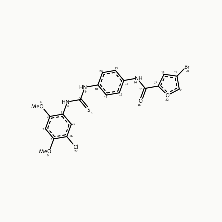 COc1cc(OC)c(NC(=S)Nc2ccc(NC(=O)c3cc(Br)co3)cc2)cc1Cl